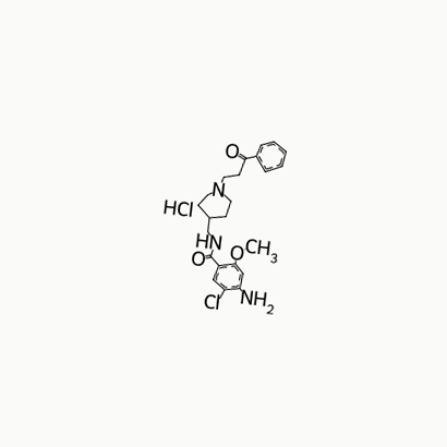 COc1cc(N)c(Cl)cc1C(=O)NCC1CCN(CCC(=O)c2ccccc2)CC1.Cl